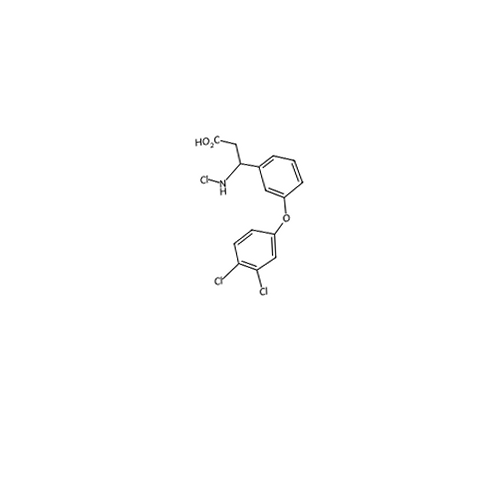 O=C(O)CC(NCl)c1cccc(Oc2ccc(Cl)c(Cl)c2)c1